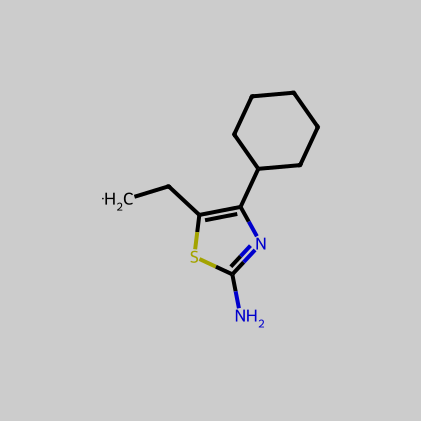 [CH2]Cc1sc(N)nc1C1CCCCC1